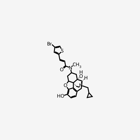 CN(C(=O)/C=C/c1cc(Br)cs1)C1CC2Oc3c(O)ccc4c3[C@@]23CCN(CC2CC2)[C@H](C4)[C@]3(O)C1